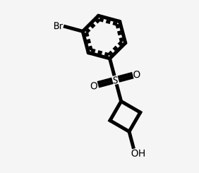 O=S(=O)(c1cccc(Br)c1)C1CC(O)C1